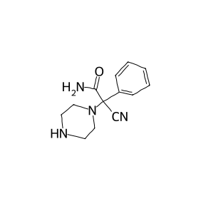 N#CC(C(N)=O)(c1ccccc1)N1CCNCC1